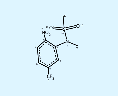 CN(c1cc(C(F)(F)F)ccc1[N+](=O)[O-])S(C)(=O)=O